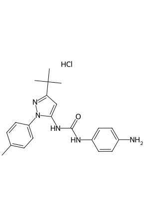 Cc1ccc(-n2nc(C(C)(C)C)cc2NC(=O)Nc2ccc(N)cc2)cc1.Cl